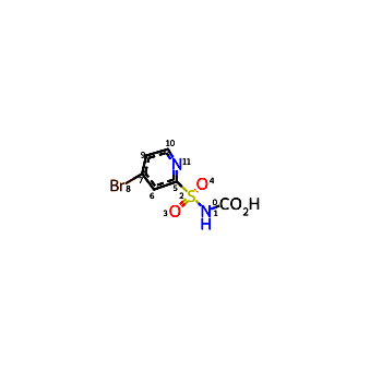 O=C(O)NS(=O)(=O)c1cc(Br)ccn1